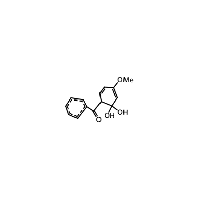 COC1=CC(O)(O)C(C(=O)c2ccccc2)C=C1